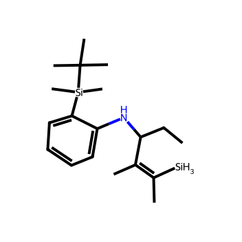 CCC(Nc1ccccc1[Si](C)(C)C(C)(C)C)C(C)=C(C)[SiH3]